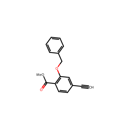 C#Cc1ccc(C(=O)OC)c(OCc2ccccc2)c1